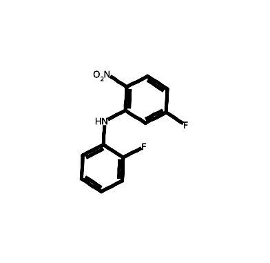 O=[N+]([O-])c1ccc(F)cc1Nc1ccccc1F